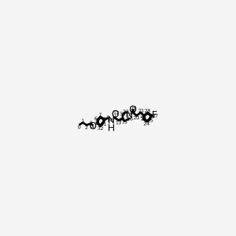 CCCCOc1ccc(CNC(=O)CC2CCN(C(=O)CCc3cccc(F)c3)CC2)cc1